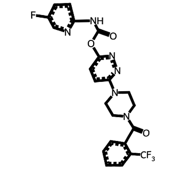 O=C(Nc1ccc(F)cn1)Oc1ccc(N2CCN(C(=O)c3ccccc3C(F)(F)F)CC2)nn1